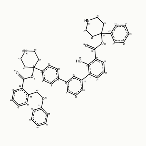 O=C(OC1(c2ccc(-c3cccc(-c4cccc(C(=O)OC5(c6ccccc6)CCNCC5)c4O)c3)cc2)CCNCC1)c1ccccc1COc1ccccc1